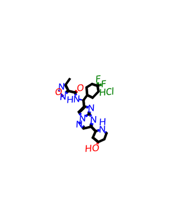 Cc1nonc1C(=O)N[C@H](c1cn2ncc(C3CC(O)CCN3)nc2n1)C1CCC(F)(F)CC1.Cl